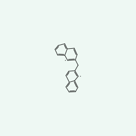 [c]1c(Cc2[c]c3ccccc3cc2)ccc2ccccc12